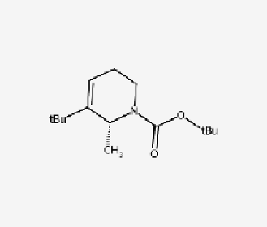 C[C@@H]1C(C(C)(C)C)=CCCN1C(=O)OC(C)(C)C